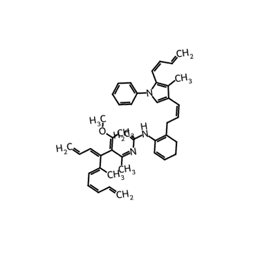 C=CC=C(/C(C)=C/C=C\C=C)C(/C(C)=N\C(=C)NC1=C(C/C=C\c2cn(-c3ccccc3)c(/C=C\C=C)c2C)CCC=C1)=C(/C)OC